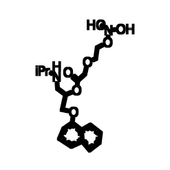 CC(C)NCC(COc1cccc2ccccc12)OC(=O)COCCON(O)O